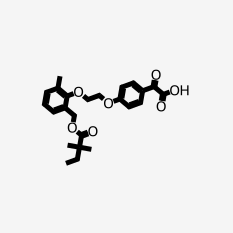 CCC(C)(C)C(=O)OCc1cccc(C)c1OCCOc1ccc(C(=O)C(=O)O)cc1